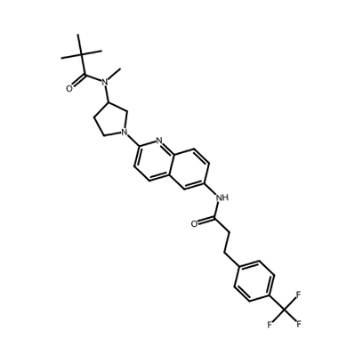 CN(C(=O)C(C)(C)C)C1CCN(c2ccc3cc(NC(=O)CCc4ccc(C(F)(F)F)cc4)ccc3n2)C1